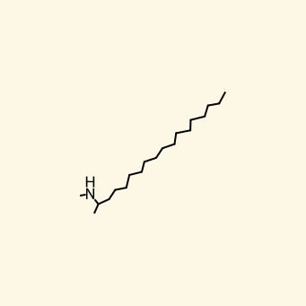 CCCCCCCCCCCCCCCCC(C)NC